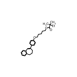 CCC(C)(C)C(=O)OCCCCCOc1ccc(C2=Cc3ccccc3CCC2)cc1